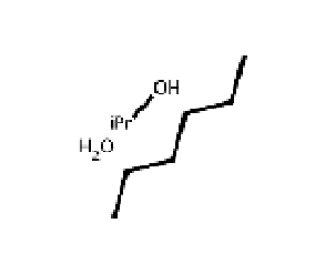 CC(C)O.CCCCCC.O